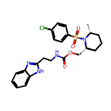 C[C@@H]1CCC[C@H](COC(=O)NCCc2nc3ccccc3[nH]2)N1S(=O)(=O)c1ccc(Cl)cc1